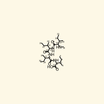 CCC(C)C(NC(=O)C(NC(=O)C(NC(=O)C(NC)C(C)CC)C(C)CC)C(C)CC)C(=O)O